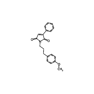 COc1ccc(CCCN2C(=O)C=C(c3ccccc3)C2=O)cc1